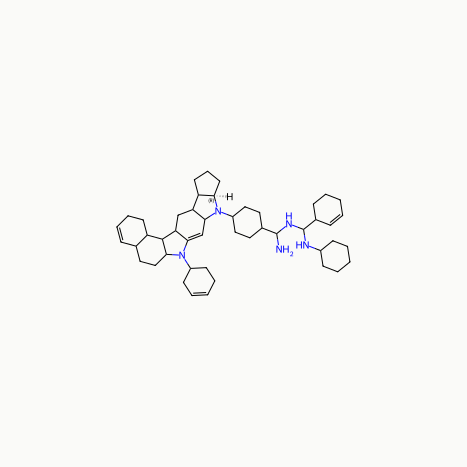 NC(NC(NC1CCCCC1)C1C=CCCC1)C1CCC(N2C3C=C4C(CC3C3CCC[C@H]32)C2C3CCC=CC3CCC2N4C2CC=CCC2)CC1